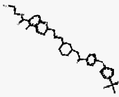 COCCNC(=O)c1ccc2c(c1C)=CCC(CCCC1CCCC(CC(=O)c3ccc(Oc4ccc(C(C)(F)F)cc4)cc3)C1)N=2